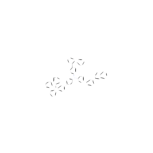 c1ccc(C2(c3ccccc3)c3ccccc3-c3ccc(-c4ccc(N(c5ccc(-c6cccc(-c7ccc8ccccc8c7)c6)cc5)c5ccc(-c6cccc7oc8ccccc8c67)cc5)cc4)cc32)cc1